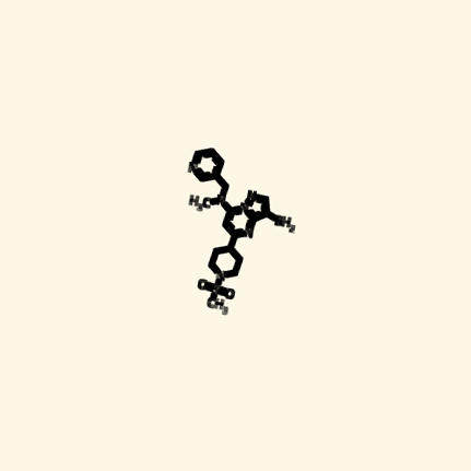 Bc1cnn2c(N(C)Cc3cccnc3)cc(C3CCN(S(C)(=O)=O)CC3)nc12